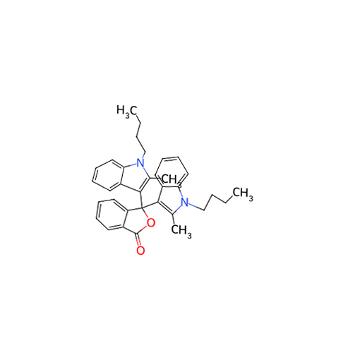 CCCCn1c(C)c(C2(c3c(C)n(CCCC)c4ccccc34)OC(=O)c3ccccc32)c2ccccc21